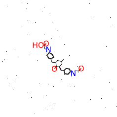 CC1C/C(=C\c2ccc(N(C)CC=O)cc2)C(=O)/C(=C/c2ccc(N(C)CC(=O)O)cc2)C1